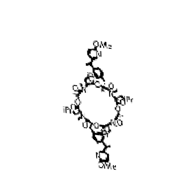 COc1ccc(C(C)c2ccc(CC3OC(=O)[C@H](CC(C)C)N(C)C(=O)[C@@H](C)OC(=O)[C@H](CC(C)C)N(C)C(=O)[C@@H](Cc4ccc(C(C)c5ccc(OC)nc5)cc4)OC(=O)[C@H](CC(C)C)N(C)C(=O)[C@@H](C)OC(=O)[C@H](CC(C)C)N(C)C3=O)cc2)cn1